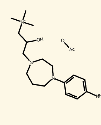 CC(=O)[O-].C[N+](C)(C)CC(O)CN1CCCN(c2ccc(N)cc2)CC1